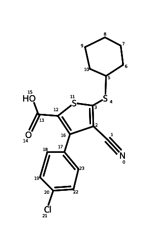 N#Cc1c(SC2CCCCC2)sc(C(=O)O)c1-c1ccc(Cl)cc1